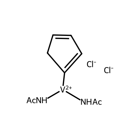 CC(=O)[NH][V+2]([NH]C(C)=O)[C]1=CC=CC1.[Cl-].[Cl-]